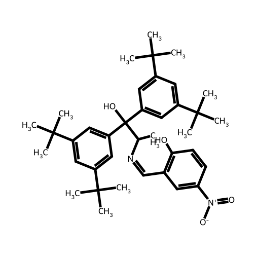 CC(N=Cc1cc([N+](=O)[O-])ccc1O)C(O)(c1cc(C(C)(C)C)cc(C(C)(C)C)c1)c1cc(C(C)(C)C)cc(C(C)(C)C)c1